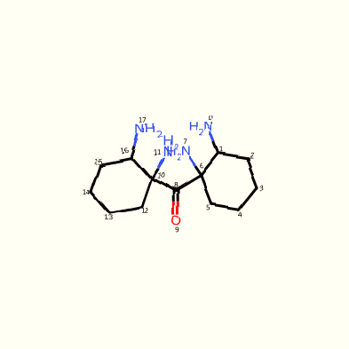 NC1CCCCC1(N)C(=O)C1(N)CCCCC1N